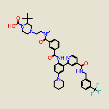 CN(CCN1CCN(C(=O)O)C(C(C)(C)C)C1)C(=O)c1cccc(C(=O)Nc2ccc(N3CCCCC3)cc2-c2cc(C(=O)NCc3cccc(C(F)(F)F)c3)ccn2)c1